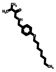 CCCCCCCCOc1ccc(CNCC(=O)C(C)C)cc1